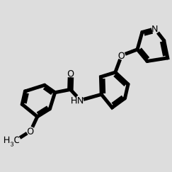 COc1cccc(C(=O)Nc2cccc(Oc3cccnc3)c2)c1